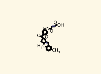 Cc1ccc(C)c(/C=C2\CCc3c2oc2cc(NC(=O)/C=C/C(=O)O)ccc2c3=O)c1